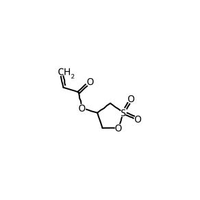 C=CC(=O)OC1COS(=O)(=O)C1